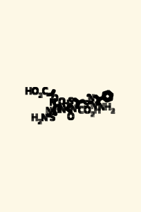 CC(CC(=O)O)O/N=C(\C(=O)NC1C(=O)N2C(C(=O)O)=C(CSC3=NC(N)=C(c4ccccc4)CN3C)CS[C@@H]12)c1csc(N)n1